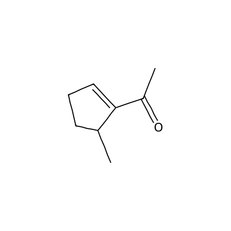 CC(=O)C1=CCCC1C